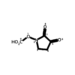 O=C(O)ON1CCC(=O)C1=O